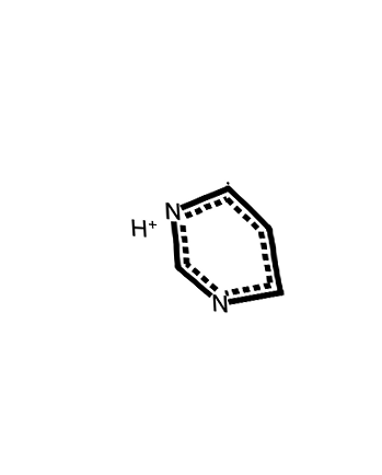 [H+].[c]1ccncn1